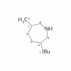 CC1CCC(C(C)(C)C)CNC1